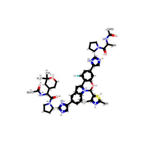 COC(=O)NC(C(=O)N1CCC[C@H]1c1ncc(-c2cc(F)c3c(c2)OC(c2sc(C(C)C)nc2C)n2c-3cc3cc(-c4cnc([C@@H]5CCCN5C(=O)C(NC(=O)OC)C5CCOC(C)(C)C5)[nH]4)ccc32)[nH]1)C(C)C